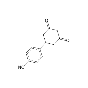 N#Cc1ccc(C2CC(=O)CC(=O)C2)cc1